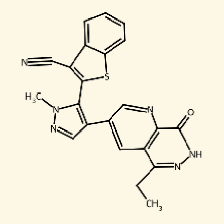 CCc1n[nH]c(=O)c2ncc(-c3cnn(C)c3-c3sc4ccccc4c3C#N)cc12